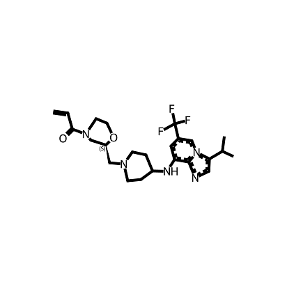 C=CC(=O)N1CCO[C@@H](CN2CCC(Nc3cc(C(F)(F)F)cn4c(C(C)C)cnc34)CC2)C1